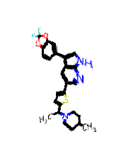 CC1CCN(C(C)c2ccc(-c3cnc4[nH]cc(-c5ccc6c(c5)OC(F)(F)O6)c4c3)s2)CC1